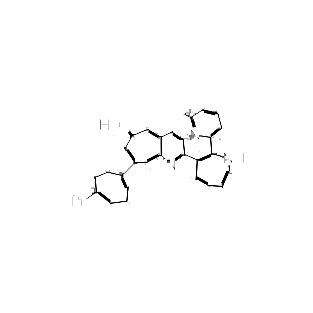 C=C1C=C(C2=CCC=C(C(C)C)CC2)C=c2nc(C3=C(c4cccc(C)n4)NC=CC=C3)ccc2=C1